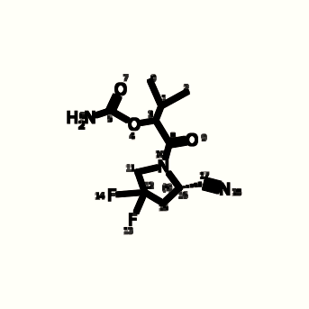 CC(C)C(OC(N)=O)C(=O)N1CC(F)(F)C[C@H]1C#N